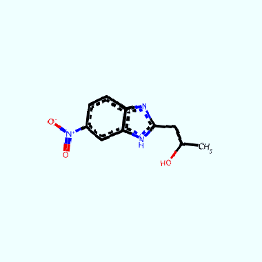 CC(O)Cc1nc2ccc([N+](=O)[O-])cc2[nH]1